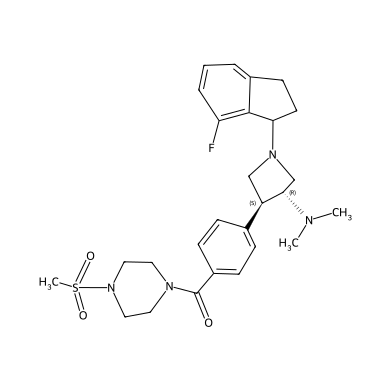 CN(C)[C@H]1CN(C2CCc3cccc(F)c32)C[C@@H]1c1ccc(C(=O)N2CCN(S(C)(=O)=O)CC2)cc1